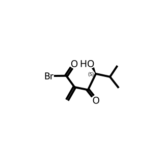 C=C(C(=O)Br)C(=O)[C@@H](O)C(C)C